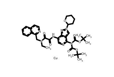 CCN(Cc1nccc2ccccc12)C(=O)C(=O)Nc1cnc(N(C(=O)OC(C)(C)C)C(=O)OC(C)(C)C)c2cn(C3CCCCO3)nc12.[Cu]